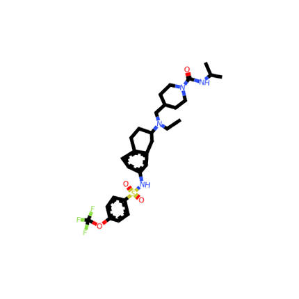 CCN(CC1CCN(C(=O)NC(C)C)CC1)C1CCc2ccc(NS(=O)(=O)c3ccc(OC(F)(F)F)cc3)cc2C1